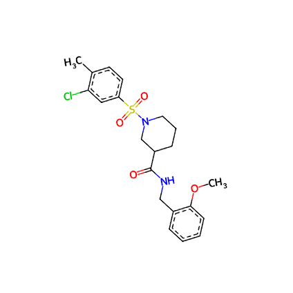 COc1ccccc1CNC(=O)C1CCCN(S(=O)(=O)c2ccc(C)c(Cl)c2)C1